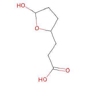 O=C(O)CCC1CCC(O)O1